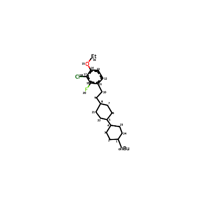 CCCCC1CCC(C2CCC(CCc3ccc(OCC)c(Cl)c3F)CC2)CC1